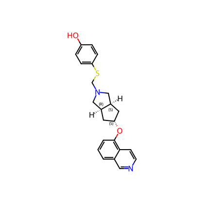 Oc1ccc(SCN2C[C@H]3C[C@H](Oc4cccc5cnccc45)C[C@H]3C2)cc1